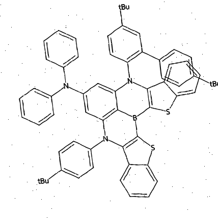 CC(C)(C)c1ccc(-c2cc(C(C)(C)C)ccc2N2c3cc(N(c4ccccc4)c4ccccc4)cc4c3B(c3sc5ccccc5c3N4c3ccc(C(C)(C)C)cc3)c3sc4ccccc4c32)cc1